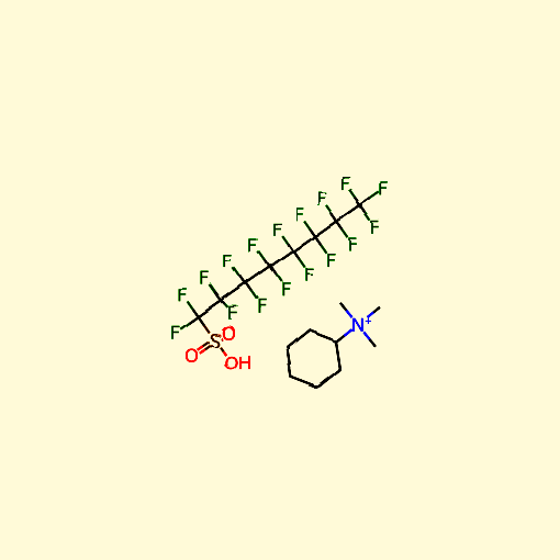 C[N+](C)(C)C1CCCCC1.O=S(=O)(O)C(F)(F)C(F)(F)C(F)(F)C(F)(F)C(F)(F)C(F)(F)C(F)(F)C(F)(F)F